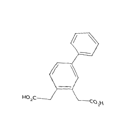 O=C(O)Cc1ccc(-c2ccccc2)cc1CC(=O)O